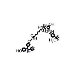 CC/C(=C(\c1ccc(O)cc1)c1ccc(OCCNC(=O)CCCCCCC(=O)N[C@H](C(=O)N2C[C@H](O)C[C@H]2C(=O)NCc2ccc(-c3scnc3C)cc2)C(C)(C)C)cc1)c1ccccc1